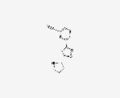 N#Cc1cccc(-c2noc([C@@H]3CCCN3)n2)c1